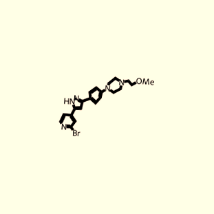 COCCN1CCN(c2ccc(-c3cc(-c4ccnc(Br)c4)[nH]n3)cc2)CC1